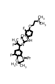 C=N/C(=N\C(=C(/C)F)c1cc(F)c2c(c1)N(C(C)C)CC(C)(C)O2)Nc1ccc(OCCN(C)C)c(F)c1